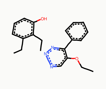 CCOc1cnnnc1-c1ccccc1.CCc1cccc(O)c1CC